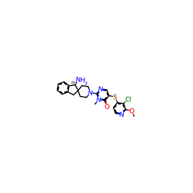 COc1nccc(Sc2cnc(N3CCC4(CC3)Cc3ccccc3[C@H]4N)n(C)c2=O)c1Cl